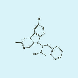 Cc1cc2c3cc(Br)ccc3n(C(Oc3ccccc3)C(C)O)c2cn1